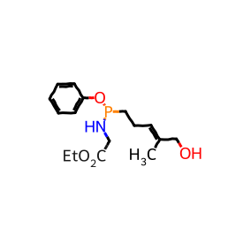 CCOC(=O)CNP(CC/C=C(\C)CO)Oc1ccccc1